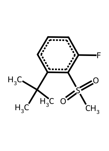 CC(C)(C)c1cccc(F)c1S(C)(=O)=O